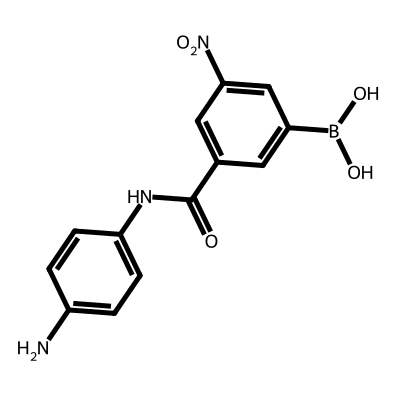 Nc1ccc(NC(=O)c2cc(B(O)O)cc([N+](=O)[O-])c2)cc1